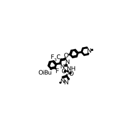 CC(C)COc1cccc(-c2nc(NS(=O)(=O)c3cnn(C)c3)nc(Oc3ccc(C4CCN(C)CC4)cc3)c2C(F)(F)F)c1F